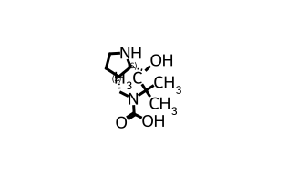 CC(C)(C)N(C[C@@H]1CCN[C@@H]1CO)C(=O)O